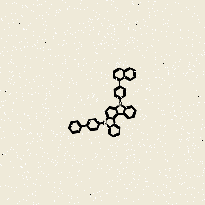 c1ccc(-c2ccc(-n3c4ccccc4c4c5c6ccccc6n(-c6ccc(-c7cccc8ccccc78)cc6)c5ccc43)cc2)cc1